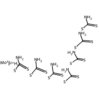 NC(=S)[S-].NC(=S)[S-].NC(=S)[S-].NC(=S)[S-].NC(=S)[S-].NC(=S)[S-].NC(=S)[S-].[Mo+4].[PH6+3]